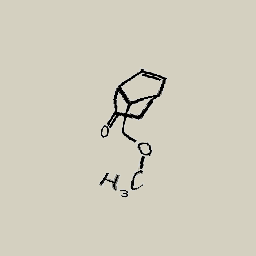 COCC1C2C=CC1C(=O)C2